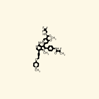 C=C(F)C(=O)Nc1ccc(-c2c(-c3cc(OC)c(C(=O)NCC(F)(F)F)cn3)c3c(N)ncc(C#CCOC4CCN(C)CC4)c3n2C)cc1